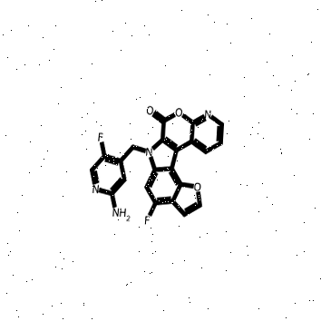 Nc1cc(Cn2c3cc(F)c4ccoc4c3c3c4cccnc4oc(=O)c32)c(F)cn1